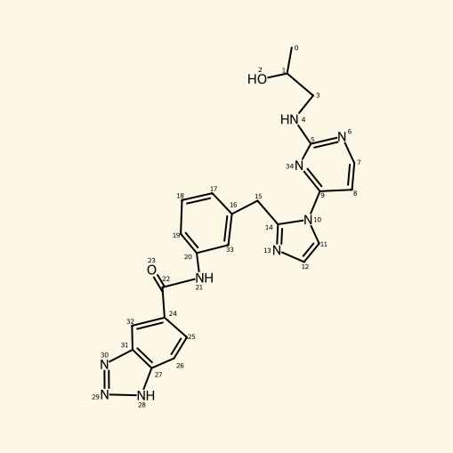 CC(O)CNc1nccc(-n2ccnc2Cc2cccc(NC(=O)c3ccc4[nH]nnc4c3)c2)n1